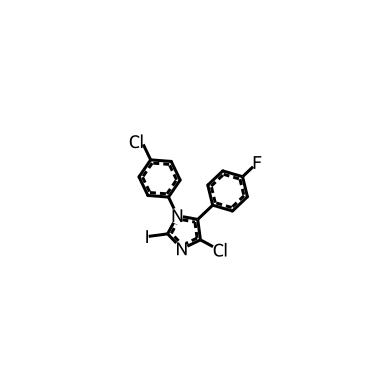 Fc1ccc(-c2c(Cl)nc(I)n2-c2ccc(Cl)cc2)cc1